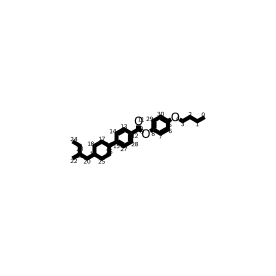 CCCCOc1ccc(OC(=O)c2ccc(C3CCC(CC(C)CC)CC3)cc2)cc1